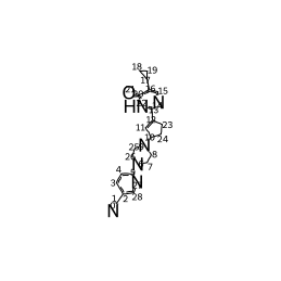 N#Cc1ccc(N2CCN(C3C=C(c4ncc(C5CC5)c(=O)[nH]4)CC3)CC2)nc1